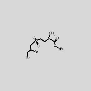 CN(CCS(=O)(=O)CC(Br)CBr)C(=O)OC(C)(C)C